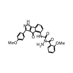 COc1ccc(-c2n[nH]c3c2C(=O)c2c(NC(=O)N(N)C(=O)c4ccccc4OC)cccc2-3)cc1